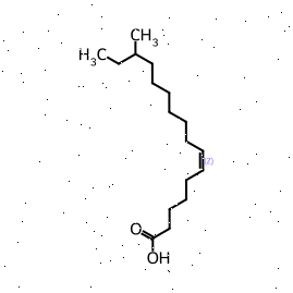 CCC(C)CCCCCC/C=C\CCCCC(=O)O